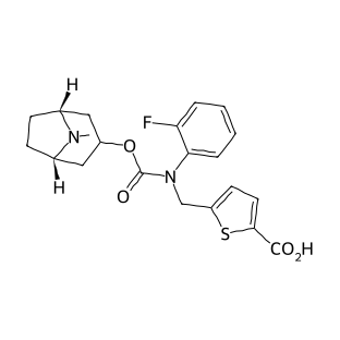 CN1[C@@H]2CC[C@H]1CC(OC(=O)N(Cc1ccc(C(=O)O)s1)c1ccccc1F)C2